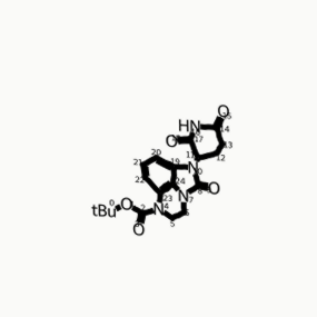 CC(C)(C)OC(=O)N1CCn2c(=O)n(C3CCC(=O)NC3=O)c3cccc1c32